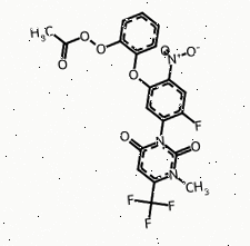 CC(=O)OOc1ccccc1Oc1cc(-n2c(=O)cc(C(F)(F)F)n(C)c2=O)c(F)cc1[N+](=O)[O-]